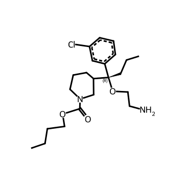 CCCCOC(=O)N1CCCC([C@@](CCC)(OCCN)c2cccc(Cl)c2)C1